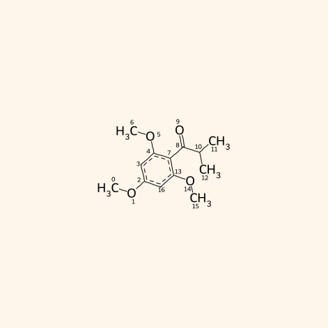 COc1cc(OC)c(C(=O)C(C)C)c(OC)c1